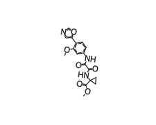 COC(=O)C1(NC(=O)C(=O)Nc2ccc(-c3cnco3)c(OC)c2)CC1